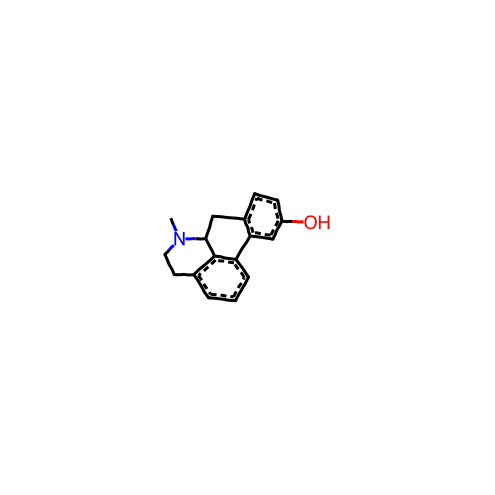 CN1CCc2cccc3c2C1Cc1ccc(O)cc1-3